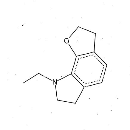 CCN1CCc2ccc3c(c21)OCC3